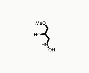 COCC(O)CNO